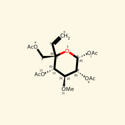 C=C[C@]1(COC(C)=O)O[C@H](OC(C)=O)[C@H](OC(C)=O)[C@@H](OC)[C@@H]1OC(C)=O